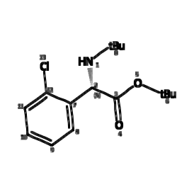 CC(C)(C)N[C@H](C(=O)OC(C)(C)C)c1ccccc1Cl